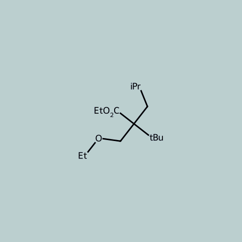 CCOCC(CC(C)C)(C(=O)OCC)C(C)(C)C